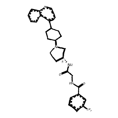 O=C(CNC(=O)c1cccc(C(F)(F)F)c1)N[C@@H]1CCN(C2CCC(c3ccnc4ccccc34)CC2)C1